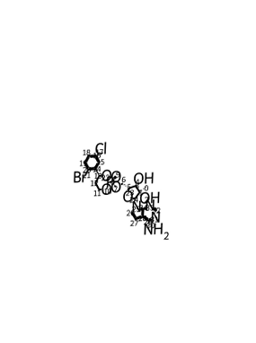 C[C@@]1(O)[C@H](O)[C@@H](CO[P@@]2(=O)OCC[C@@H](c3cc(Cl)ccc3Br)O2)O[C@H]1n1ccc2c(N)ncnc21